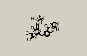 O=C(O)C(F)(F)F.O=C(c1cc(Cc2n[nH]c(=O)n3c(Cl)c(Cl)nc23)ccc1F)N1C[C@@H]2C[C@H]1CN2